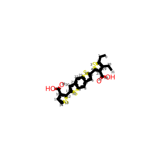 CCc1sc(-c2cc3cc4sc(-c5sccc5C(=O)O)cc4cc3s2)c(C(=O)O)c1CC